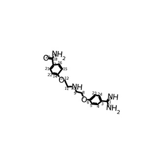 N=C(N)c1ccc(OCCNCCOc2ccc(C(N)=O)cc2)cc1